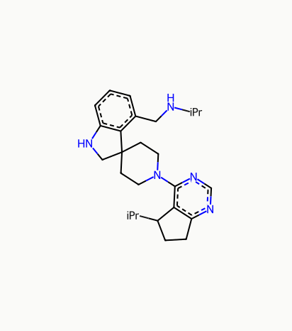 CC(C)NCc1cccc2c1C1(CCN(c3ncnc4c3C(C(C)C)CC4)CC1)CN2